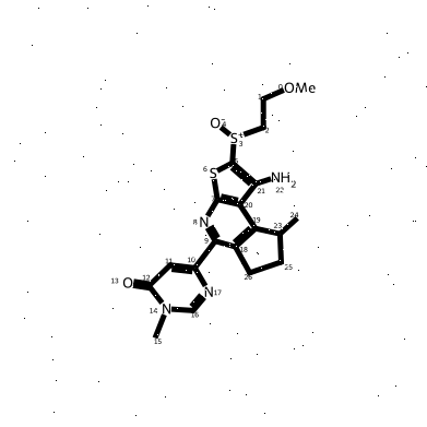 COCC[S+]([O-])c1sc2nc(-c3cc(=O)n(C)cn3)c3c(c2c1N)C(C)CC3